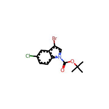 CC(C)(C)OC(=O)n1cc(Br)c2cc(Cl)ccc21